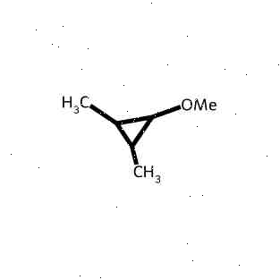 [CH2]OC1C(C)C1C